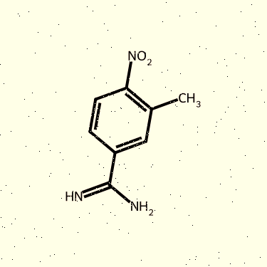 Cc1cc(C(=N)N)ccc1[N+](=O)[O-]